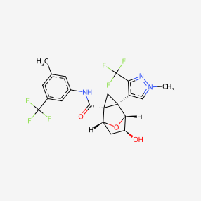 Cc1cc(NC(=O)[C@]23C[C@@]2(c2cn(C)nc2C(F)(F)F)[C@H]2O[C@@H]3C[C@@H]2O)cc(C(F)(F)F)c1